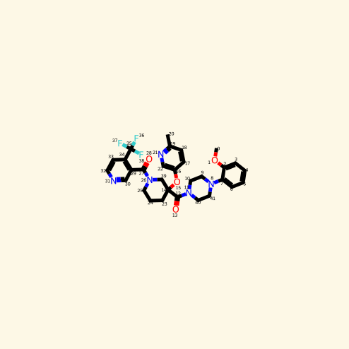 COc1ccccc1N1CCN(C(=O)C2(Oc3ccc(C)nc3)CCCN(C(=O)c3cnccc3C(F)(F)F)C2)CC1